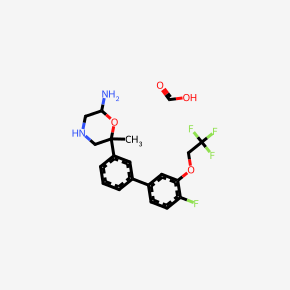 CC1(c2cccc(-c3ccc(F)c(OCC(F)(F)F)c3)c2)CNCC(N)O1.O=CO